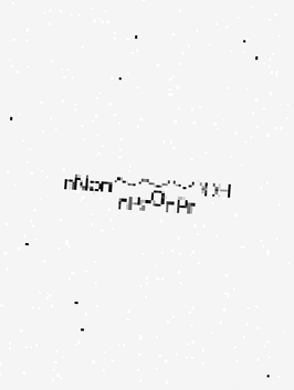 CCCCCCCCCCCCCCCCO.CCCOCCC